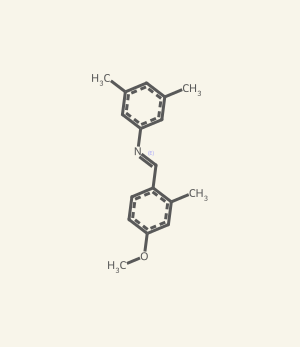 COc1ccc(/C=N/c2cc(C)cc(C)c2)c(C)c1